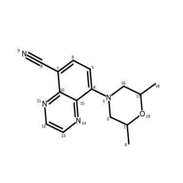 CC1CN(c2ccc(C#N)c3nccnc23)CC(C)O1